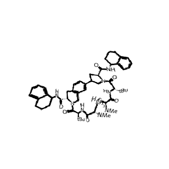 CN[C@@H](C)C(=O)NC(C(=O)N1Cc2cc(C3C[C@@H](C(=O)N[C@@H]4CCCc5ccccc54)N(C(=O)[C@@H](NC(=O)[C@H](C)NC)C(C)(C)C)C3)ccc2C[C@H]1C(=O)NC1CCCc2ccccc21)C(C)(C)C